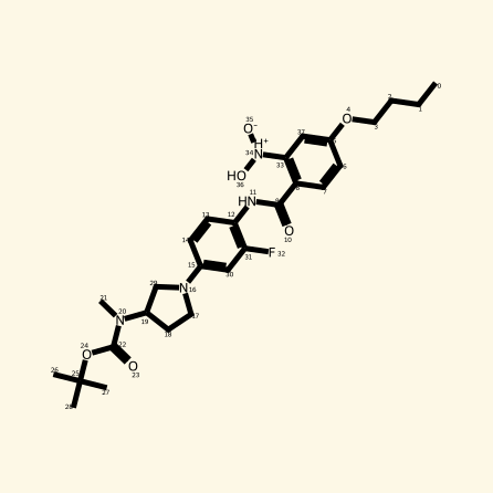 CCCCOc1ccc(C(=O)Nc2ccc(N3CCC(N(C)C(=O)OC(C)(C)C)C3)cc2F)c([NH+]([O-])O)c1